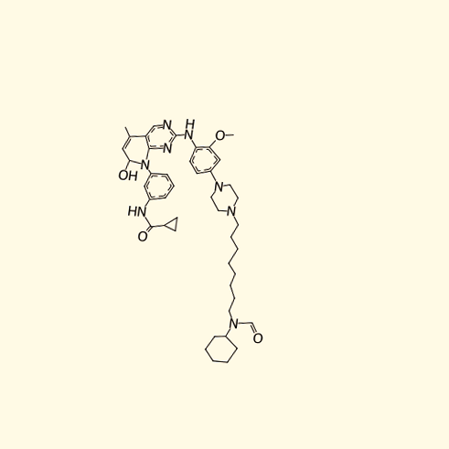 COc1cc(N2CCN(CCCCCCCCN(C=O)C3CCCCC3)CC2)ccc1Nc1ncc2c(n1)N(c1cccc(NC(=O)C3CC3)c1)C(O)C=C2C